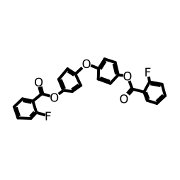 O=C(Oc1ccc(Oc2ccc(OC(=O)c3ccccc3F)cc2)cc1)c1ccccc1F